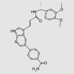 COc1ccc([C@@H](C)NC(=O)/C=C/c2c[nH]c3ncc(-c4ccc(C(N)=O)cc4)cc23)cc1OC